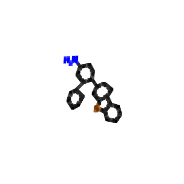 Nc1ccc(-c2ccc3c(c2)sc2ccccc23)c(-c2ccccc2)c1